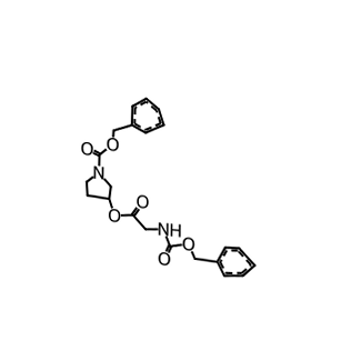 O=C(CNC(=O)OCc1ccccc1)OC1CCN(C(=O)OCc2ccccc2)C1